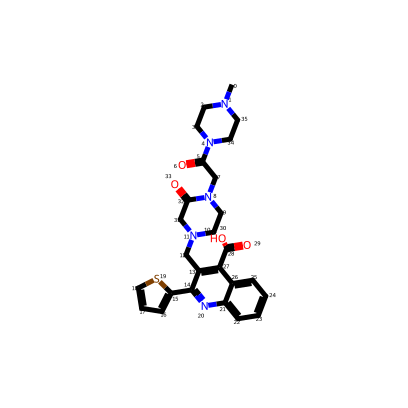 CN1CCN(C(=O)CN2CCN(Cc3c(-c4cccs4)nc4ccccc4c3C(=O)O)CC2=O)CC1